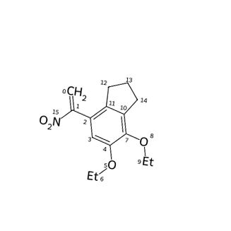 C=C(c1cc(OCC)c(OCC)c2c1CCC2)[N+](=O)[O-]